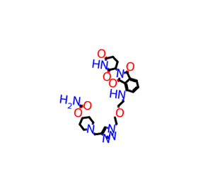 NC(=O)OC1CCN(Cc2cn(CCOCCNc3cccc4c3C(=O)N(C3CCC(=O)NC3=O)C4=O)nn2)CC1